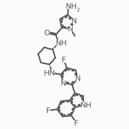 Cn1nc(N)cc1C(=O)N[C@@H]1CCC[C@H](Nc2nc(-c3c[nH]c4c(F)cc(F)cc34)ncc2F)C1